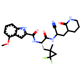 COc1cccc2[nH]c(C(=O)N[C@@H](CC3(C)CC3(F)F)C(=O)NC(C#N)CC3CCCNC3=O)cc12